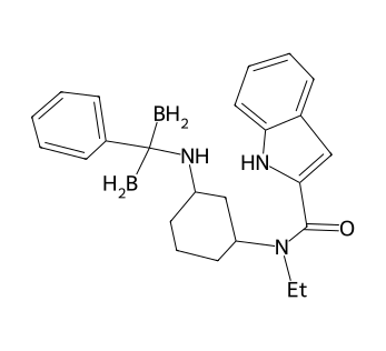 BC(B)(NC1CCCC(N(CC)C(=O)c2cc3ccccc3[nH]2)C1)c1ccccc1